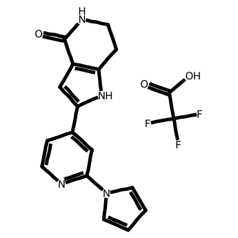 O=C(O)C(F)(F)F.O=C1NCCc2[nH]c(-c3ccnc(-n4cccc4)c3)cc21